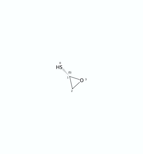 S[C@H]1CO1